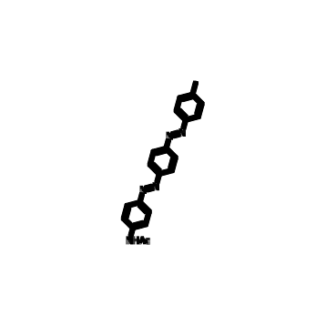 CC(=O)Nc1ccc(N=Nc2ccc(N=Nc3ccc(C)cc3)cc2)cc1